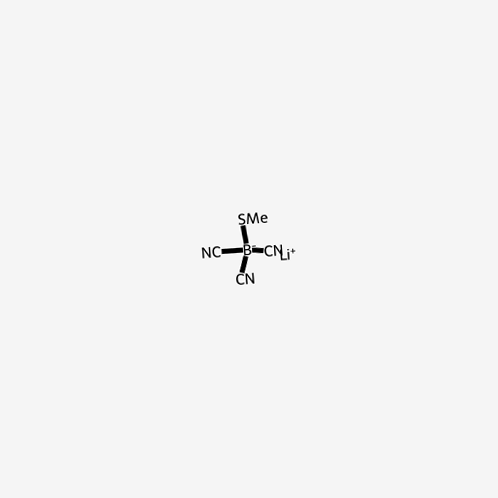 CS[B-](C#N)(C#N)C#N.[Li+]